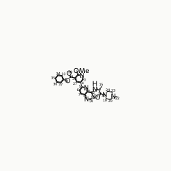 COc1ncc(-c2ccc3ncnc(N[C@@H](C)C(=O)N4CCN(C)CC4)c3n2)cc1C(=O)Oc1ccccc1